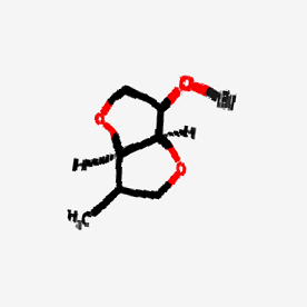 CC1CO[C@@H]2C(OC(C)(C)C)CO[C@H]12